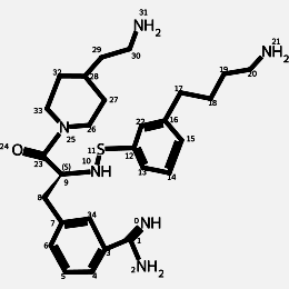 N=C(N)c1cccc(C[C@H](NSc2cccc(CCCCN)c2)C(=O)N2CCC(CCN)CC2)c1